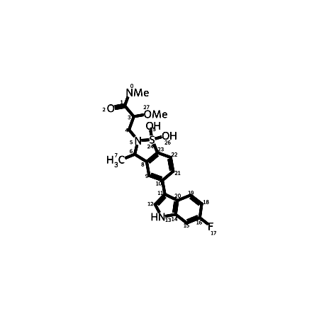 CNC(=O)C(CN1C(C)c2cc(-c3c[nH]c4cc(F)ccc34)ccc2S1(O)O)OC